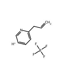 C=CCc1ccccn1.F[B-](F)(F)F.[H+]